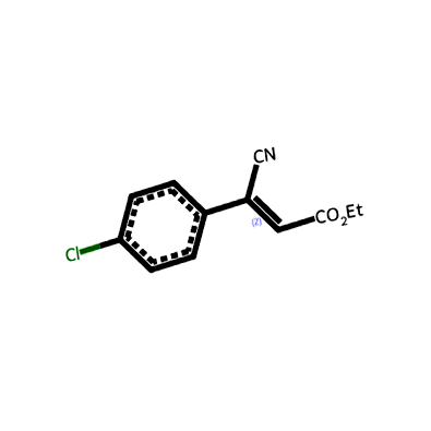 CCOC(=O)/C=C(\C#N)c1ccc(Cl)cc1